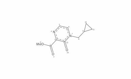 COC(=O)c1nccn(CC2CC2)c1=O